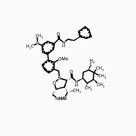 COc1c(CN2O[C@@H](CNC(C)=O)[C@@H]([C@H](C)O)[C@H]2C(=O)N[C@H]2C[C@@H](C)C(C)(C)[C@@H](C)[C@@H]2C)cccc1-c1cc(C(=O)NCCc2ccccc2)cc(N(C)C)c1